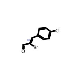 O=C/C(Br)=C/c1ccc(Cl)cc1